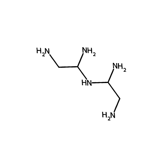 NCC(N)NC(N)CN